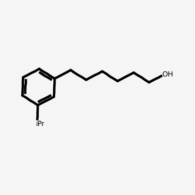 CC(C)c1cccc(CCCCCCO)c1